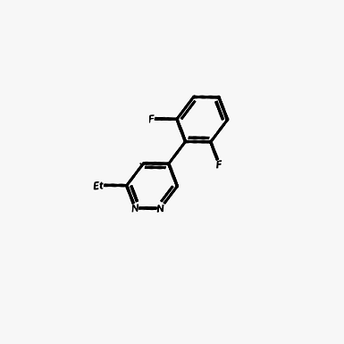 CCc1[c]c(-c2c(F)cccc2F)cnn1